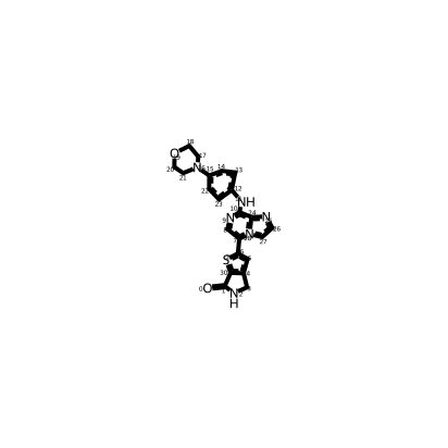 O=C1NCc2cc(-c3cnc(Nc4ccc(N5CCOCC5)cc4)c4nccn34)sc21